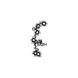 O=C(O)Oc1[nH]c2c(/C=C/c3cccc(C(=O)N4CCC(Cc5ccccc5)CC4)c3)cccc2c1CCCOc1cccc2ccccc12